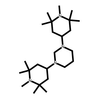 CN1C(C)(C)CC(N2CCCN(C3CC(C)(C)N(C)C(C)(C)C3)C2)CC1(C)C